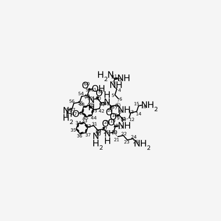 N=C(N)NCCC[C@H](NC(=O)[C@H](CCCCN)NC(=O)[C@H](CCCCN)NC(=O)[C@@H](N)Cc1ccccc1)C(=O)N[C@@H](Cc1ccc(O)cc1)C(=O)N[C@@H](CCCCN)C(=O)O